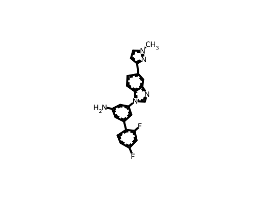 Cn1ccc(-c2ccc3c(c2)ncn3-c2cc(N)cc(-c3ccc(F)cc3F)c2)n1